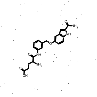 NC(=O)c1cc2cc(OCc3cccc(NC(=O)C(N)CCC(=O)O)c3)ccc2[nH]1